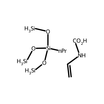 C=CNC(=O)O.CCC[Si](O[SiH3])(O[SiH3])O[SiH3]